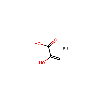 C=C(O)C(=O)O.[KH]